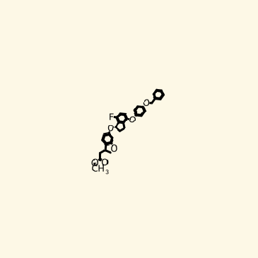 COC(=O)CC1COc2cc(O[C@@H]3CCc4c(Oc5ccc(OCc6ccccc6)cc5)ccc(F)c43)ccc21